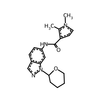 Cc1c(C(=O)Nc2ccc3cnn(C4CCCCO4)c3c2)ccn1C